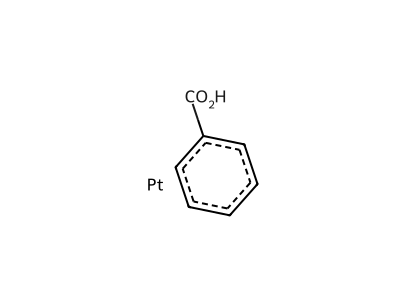 O=C(O)c1ccccc1.[Pt]